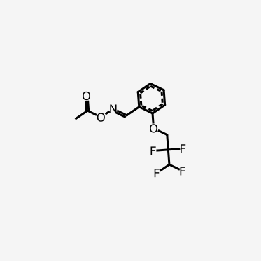 CC(=O)ON=Cc1ccccc1OCC(F)(F)C(F)F